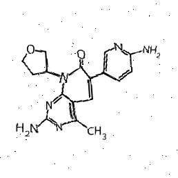 Cc1nc(N)nc2c1cc(-c1ccc(N)nc1)c(=O)n2C1CCOC1